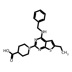 CCc1cc2c(NCc3ccccc3)nc(N3CCC(C(=O)O)CC3)nc2s1